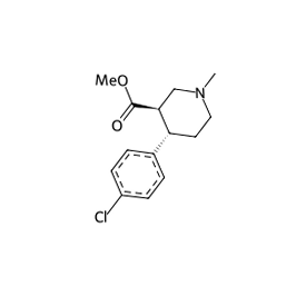 COC(=O)[C@H]1CN(C)CC[C@@H]1c1ccc(Cl)cc1